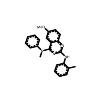 COc1ccc2nc(Nc3ccccc3C)nc(N(C)c3ccccc3)c2c1